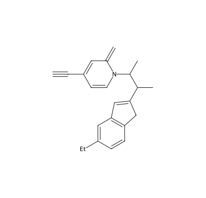 C#CC1=CC(=C)N(C(C)C(C)C2=Cc3cc(CC)ccc3C2)C=C1